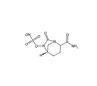 NC(=O)C1CC[C@H]2CN1C(=O)N2OS(=O)(=O)N=O